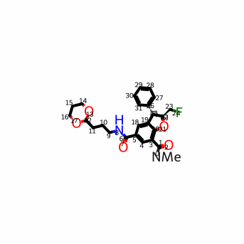 CNC(=O)c1cc(C(=O)NCCCC2OCCCO2)cc2c1O[C@H](CF)[C@H]2c1ccccc1